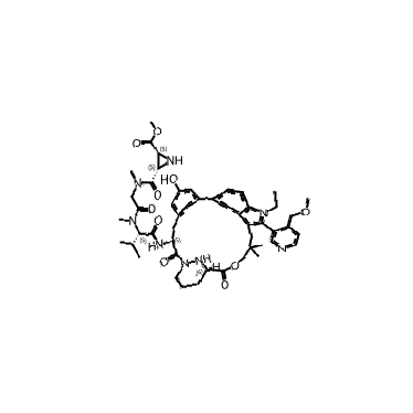 CCn1c(-c2cnccc2COC)c2c3cc(ccc31)-c1cc(O)cc(c1)C[C@H](NC(=O)[C@H](C(C)C)N(C)C(=O)CN(C)C(=O)[C@H]1N[C@@H]1C(=O)OC)C(=O)N1CCC[C@H](N1)C(=O)OCC(C)(C)C2